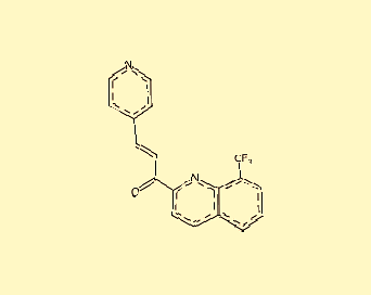 O=C(C=Cc1ccncc1)c1ccc2cccc(C(F)(F)F)c2n1